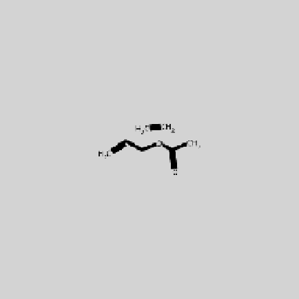 C=C.C=CCOC(C)=O